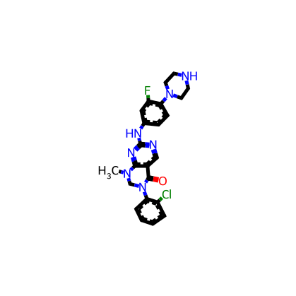 CN1CN(c2ccccc2Cl)C(=O)c2cnc(Nc3ccc(N4CCNCC4)c(F)c3)nc21